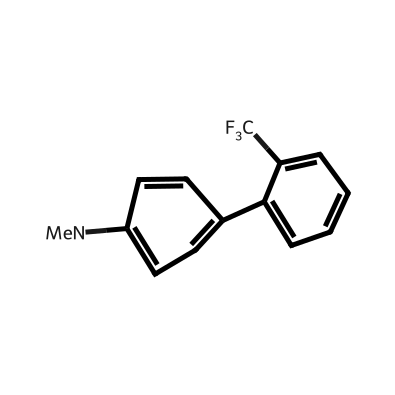 CNc1ccc(-c2ccccc2C(F)(F)F)cc1